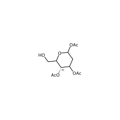 CC(=O)OC1CC(OC(C)=O)[C@H](OC(C)=O)C(CO)O1